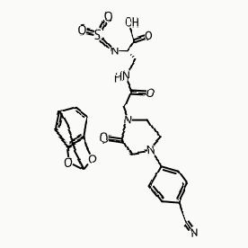 N#Cc1ccc(N2CCN(CC(=O)NC[C@H](N=S(=O)=O)C(=O)O)C(=O)C2)cc1.c1cc2c3cc1C(O2)O3